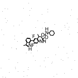 Cc1c[nH]c2c(-c3c(F)cc4c(c3F)C(C)C(OC(=O)NC3CCCCC3)C(C)(C)N4)cccc12